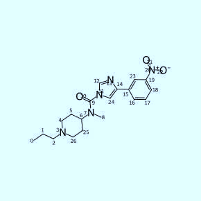 CCCN1CCC(N(C)C(=O)n2cnc(-c3cccc([N+](=O)[O-])c3)c2)CC1